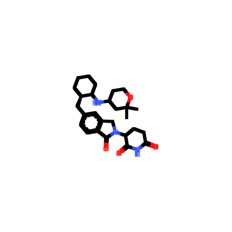 CC1(C)CC(NC2CCCC[C@@H]2Cc2ccc3c(c2)CN(C2CCC(=O)NC2=O)C3=O)CCO1